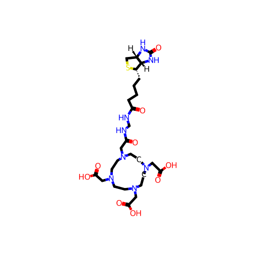 O=C(O)CN1CCN(CC(=O)O)CCN(CC(=O)NCNC(=O)CCCC[C@@H]2SC[C@@H]3NC(=O)N[C@@H]32)CCN(CC(=O)O)CC1